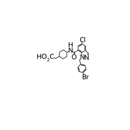 O=C(O)CC1CCC(NC(=O)c2cc(Cl)cc3cnn(Cc4ccc(Br)cc4)c23)CC1